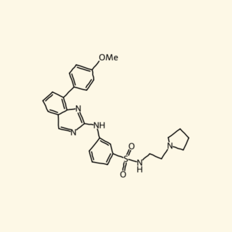 COc1ccc(-c2cccc3cnc(Nc4cccc(S(=O)(=O)NCCN5CCCC5)c4)nc23)cc1